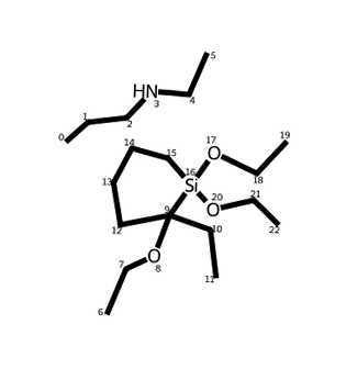 CCCNCC.CCOC1(CC)CCCC[Si]1(OCC)OCC